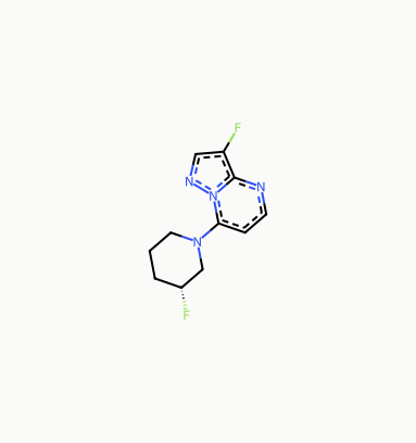 Fc1cnn2c(N3CCC[C@@H](F)C3)ccnc12